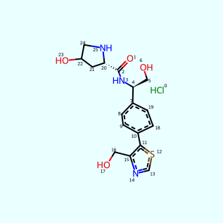 Cl.O=C(N[C@@H](CO)c1ccc(-c2scnc2CO)cc1)[C@@H]1CC(O)CN1